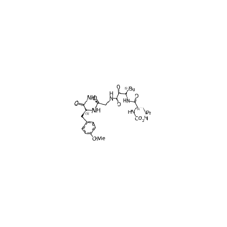 CC[C@H](C)C(NC(=O)[C@H](CC(C)C)NC(=O)O)C(=O)C(=O)NCC(=O)N[C@@H](Cc1ccc(OC)cc1)C(N)=O